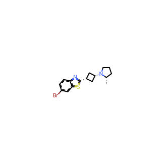 C[C@H]1CCCN1[C@H]1C[C@@H](c2nc3ccc(Br)cc3s2)C1